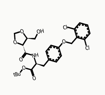 CC(C)(C)OC(=O)[C@H](Cc1ccc(OCc2c(Cl)cccc2Cl)cc1)NC(=O)[C@@H]1OCO[C@H]1CO